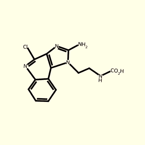 Nc1nc2c(Cl)nc3ccccc3c2n1CCNC(=O)O